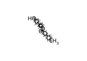 CC1CCC(C2CCC(C(=O)Oc3ccc(C4CCC(O)CC4)cc3)CC2)CC1